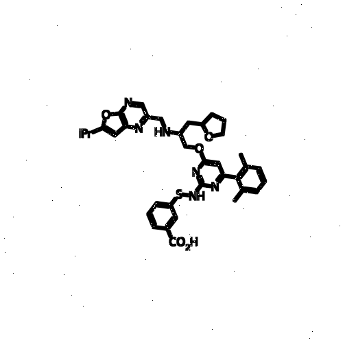 Cc1cccc(C)c1-c1cc(OCC(CC2CCCO2)NCc2cnc3oc(C(C)C)cc3n2)nc(NSc2cccc(C(=O)O)c2)n1